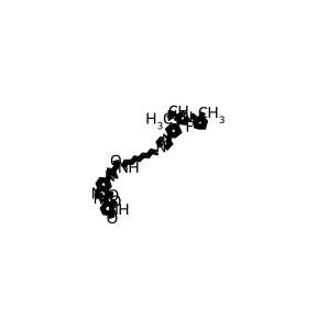 Cc1cccc(F)c1CN1C[C@H](c2ccc(N3CCN(CCCCCCCCNC(=O)C4CN(c5ccc6nnn(C7CCC(=O)NC7=O)c(=O)c6c5)C4)CC3)cc2)[C@@H](N(C)C)C1